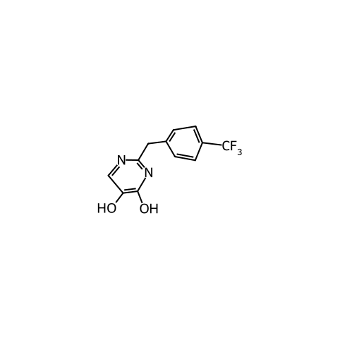 Oc1cnc(Cc2ccc(C(F)(F)F)cc2)nc1O